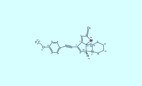 O=C1C=C2C(C#Cc3ccc(OC(F)(F)F)cc3)=C[C@H]3N4CCCC[C@@H]4C23O1